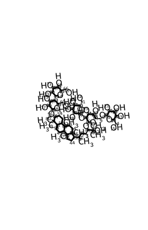 C[C@H](CC[C@@H](O[C@@H]1O[C@H](CO[C@@H]2O[C@H](CO)[C@@H](O)[C@H](O)[C@H]2O)[C@@H](O)[C@H](O)[C@H]1O[C@H]1O[C@@H](CO)[C@H](O)[C@@H](O)[C@@H]1O)C(C)(C)O)C1CC[C@@]2(C)C3CC=C4C(CC[C@H](O[C@@H]5O[C@H](CO)[C@@H](C6O[C@H](CO)[C@@H](O)[C@H](O)[C@H]6O)[C@H](O)[C@H]5O)C4(C)C)[C@]3(C)CC[C@]12C